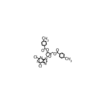 Cc1ccc(C(=O)OC[C@H]2OC(n3cnc4c(Cl)nc(Cl)nc43)C[C@@H]2OC(=O)c2ccc(C)cc2)cc1